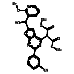 CC(C)Oc1ncccc1C(O)c1cc2c(N(C(=O)OC(C)(C)C)C(=O)OC(C)(C)C)nc(-c3cccc(C#N)c3)nc2s1